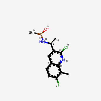 Cc1c(F)ccc2cc([C@H](C)N[S+]([O-])C(C)(C)C)c(Cl)nc12